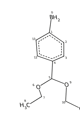 Bc1ccc(C(OCC)OCC)cc1